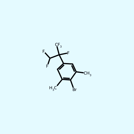 Cc1cc(C(F)(C(F)F)C(F)(F)F)cc(C)c1Br